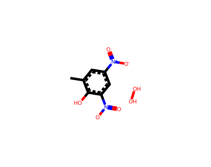 Cc1cc([N+](=O)[O-])cc([N+](=O)[O-])c1O.OO